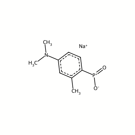 Cc1cc(N(C)C)ccc1[P+](=O)[O-].[Na+]